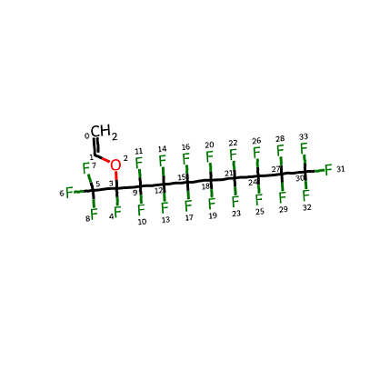 C=COC(F)(C(F)(F)F)C(F)(F)C(F)(F)C(F)(F)C(F)(F)C(F)(F)C(F)(F)C(F)(F)C(F)(F)F